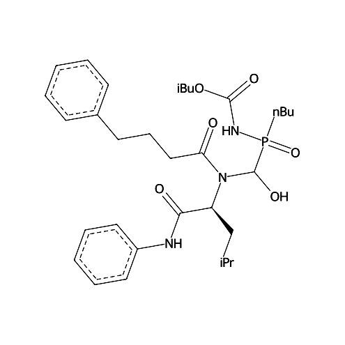 CCCCP(=O)(NC(=O)OCC(C)C)C(O)N(C(=O)CCCc1ccccc1)[C@@H](CC(C)C)C(=O)Nc1ccccc1